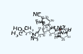 CC(C)(O)CCn1ncc2cc(-c3ccc(C(=O)N4[C@@H]5CC[C@H]4C[C@@H](N)C5)cc3-c3ccc(C#N)c(F)c3)c(F)cc21